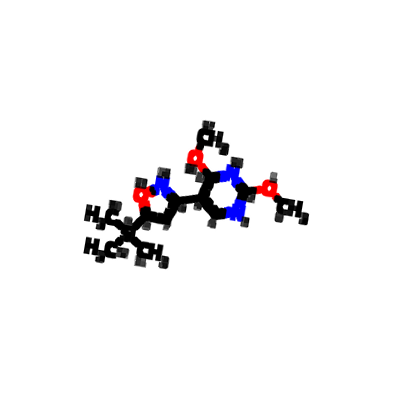 COc1ncc(-c2cc([Si](C)(C)C)on2)c(OC)n1